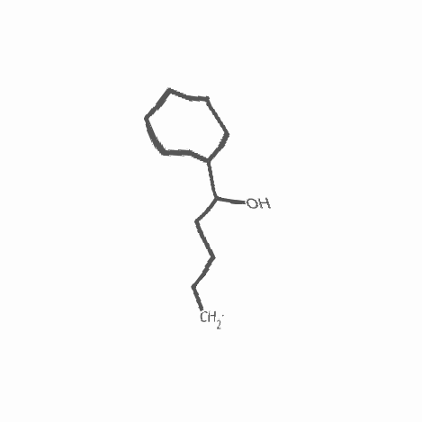 [CH2]CCCC(O)C1CCCCC1